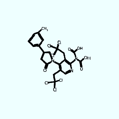 Cc1cccc(C2CC(=O)N(c3c(CC(Cl)(Cl)Cl)cnc(N(C(=O)O)C(=O)O)c3CC(Cl)(Cl)Cl)C2)c1